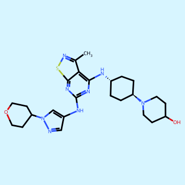 Cc1nsc2nc(Nc3cnn(C4CCOCC4)c3)nc(N[C@H]3CC[C@H](N4CCC(O)CC4)CC3)c12